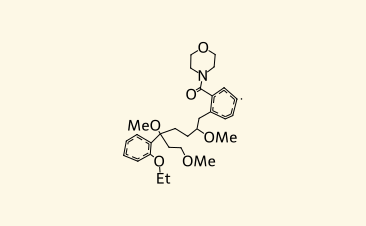 CCOc1ccccc1C(CCOC)(CCC(Cc1cc[c]cc1C(=O)N1CCOCC1)OC)OC